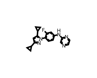 Fc1cc(Nc2cnccn2)ccc1-n1nc(C2CC2)cc1C1CC1